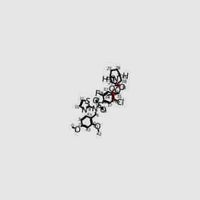 COc1ccc(CN(c2nccs2)S(=O)(=O)c2cc(Cl)c(OC3C[C@H]4CC[C@@H](C3)N4C(=O)OC(C)(C)C)cc2F)c(OC)c1